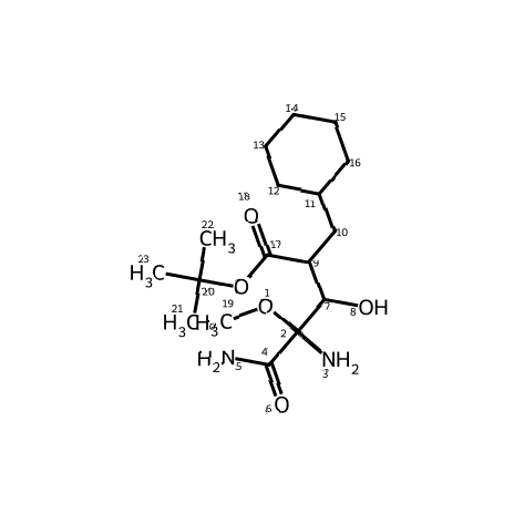 COC(N)(C(N)=O)C(O)C(CC1CCCCC1)C(=O)OC(C)(C)C